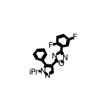 CC(C)n1ncc(-c2nc(-c3cc(F)ccc3F)no2)c1-c1ccccc1